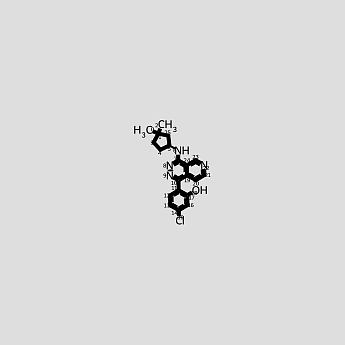 CC1(C)CC[C@H](Nc2nnc(-c3ccc(Cl)cc3O)c3ccncc23)C1